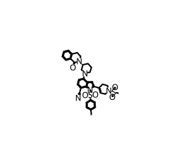 Cc1ccc(S(=O)(=O)n2c(C3=CCN(S(C)(=O)=O)CC3)cc3c(N4CCC[C@@H](N5CCc6ccccc6C5=O)C4)ccc(C#N)c32)cc1